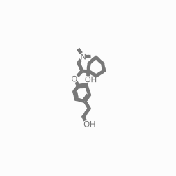 CN(C)CC(Oc1ccc(CCO)cc1)C1(O)CCCCC1